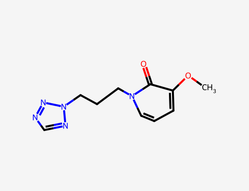 COc1cccn(CCCn2ncnn2)c1=O